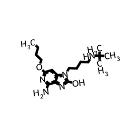 CCCCOc1cc2c(nc(O)n2CCCCNC(C)(C)C)c(N)n1